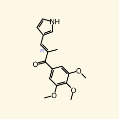 COc1cc(C(=O)/C(C)=C/c2cc[nH]c2)cc(OC)c1OC